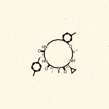 Cc1ccc(C[C@H]2NC(=O)[C@@H](C)N(C)C(=O)[C@H](C3CC3)NC[C@@H](C)Oc3cc(C)ccc3CCCNC2=O)cc1